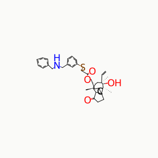 C=C[C@]1(C)C[C@@H](OC(=O)CSc2cccc(CNCc3ccccc3)c2)[C@]2(C)C(C)CCC3(CCC(=O)C32)[C@@H](C)[C@@H]1O